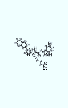 CCC(=O)CCCCC[C@H](NC(=O)Cc1c[nH]c2ccc(Br)cc12)c1ncc(-c2ccc3ccccc3c2)[nH]1